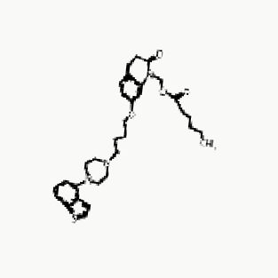 CCCCCC(=O)OCN1C(=O)CCc2ccc(OCCCCN3CCN(c4cccc5sccc45)CC3)cc21